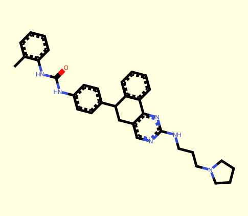 Cc1ccccc1NC(=O)Nc1ccc(C2Cc3cnc(NCCCN4CCCC4)nc3-c3ccccc32)cc1